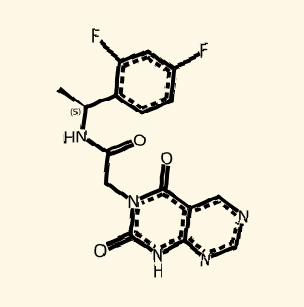 C[C@H](NC(=O)Cn1c(=O)[nH]c2ncncc2c1=O)c1ccc(F)cc1F